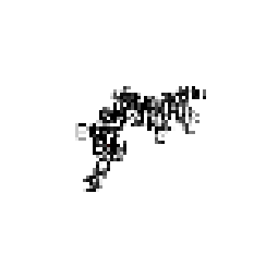 CCOP(=O)(OCC)C(CO)(Cc1nnn(COCC[Si](C)(C)C)n1)OC[C@H]1O[C@@H](n2ncc3c(N(C(=O)OC(C)(C)C)C4CCCC4)nc(Cl)nc32)[C@@H]2OC(C)(C)O[C@@H]21